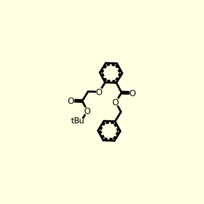 CC(C)(C)OC(=O)COc1ccccc1C(=O)OCc1ccccc1